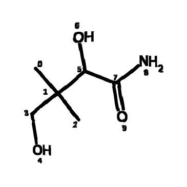 CC(C)(CO)C(O)C(N)=O